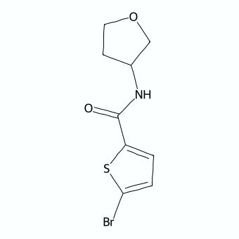 O=C(NC1CCOC1)c1ccc(Br)s1